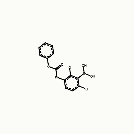 O=C(Nc1ccc(Cl)c(B(O)O)c1Cl)Oc1ccccc1